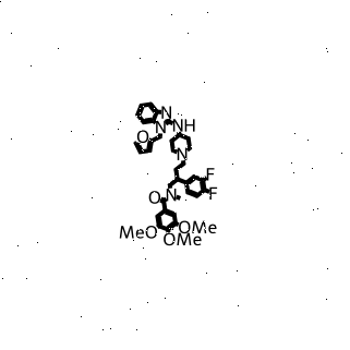 COc1cc(C(=O)N(C)CC(CCN2CCC(Nc3nc4ccccc4n3Cc3ccco3)CC2)c2ccc(F)c(F)c2)cc(OC)c1OC